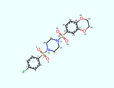 O=S(=O)(c1ccc(F)cc1)N1CCN(S(=O)(=O)c2ccc3c(c2)OCCO3)CC1